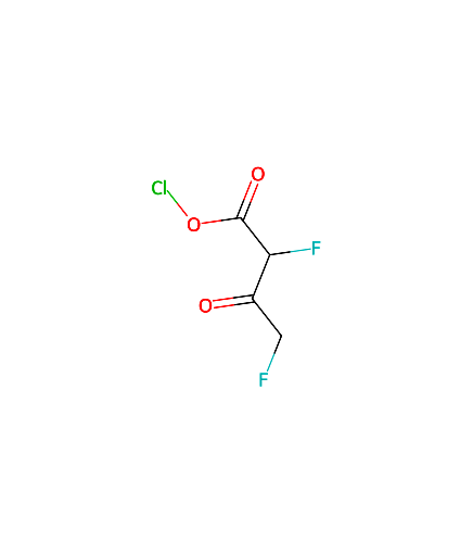 O=C(CF)C(F)C(=O)OCl